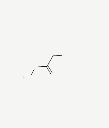 COC(=O)C[O]